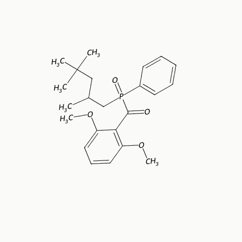 COc1cccc(OC)c1C(=O)P(=O)(CC(C)CC(C)(C)C)c1ccccc1